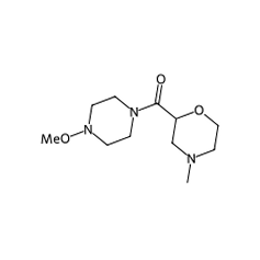 CON1CCN(C(=O)C2CN(C)CCO2)CC1